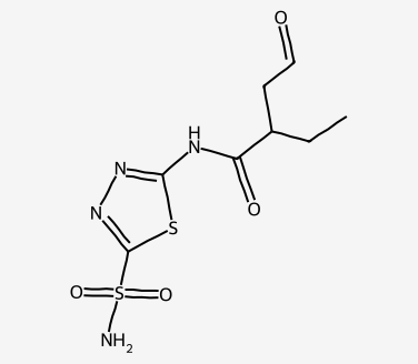 CCC(CC=O)C(=O)Nc1nnc(S(N)(=O)=O)s1